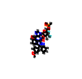 COc1ccc(C(Nc2nc3c(ncn3[C@@H]3O[C@](F)(CO[PH](C)=O)[C@@H](F)[C@@]3(C)O)c(=O)[nH]2)(c2ccccc2)c2ccccc2)cc1